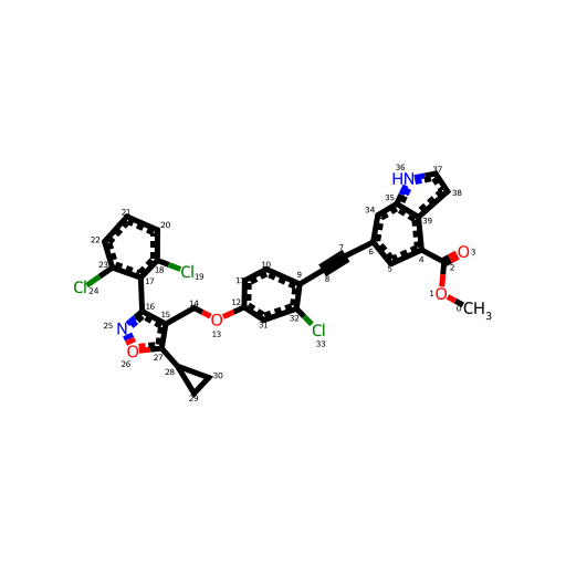 COC(=O)c1cc(C#Cc2ccc(OCc3c(-c4c(Cl)cccc4Cl)noc3C3CC3)cc2Cl)cc2[nH]ccc12